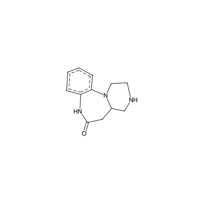 O=C1CC2CNCCN2c2ccccc2N1